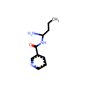 CCCC(N)NC(=O)c1cccnc1